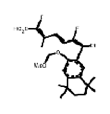 CC/C(=C(F)/C=C/C(C)=C(\F)C(=O)O)c1cc2c(cc1OCOC)C(C)(C)CCC2(C)C